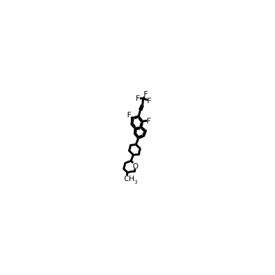 CC1CCC(C2CCC(c3ccc4c(F)c(C#CC(F)(F)F)c(F)cc4c3)CC2)OC1